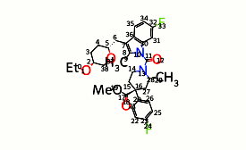 CCO[C@H]1CC[C@H](Cc2c(C)n(C(=O)N3CC[C@@](C(=O)OC)(c4ccc(F)cc4)C[C@@H]3C)c3cc(F)ccc23)OC1